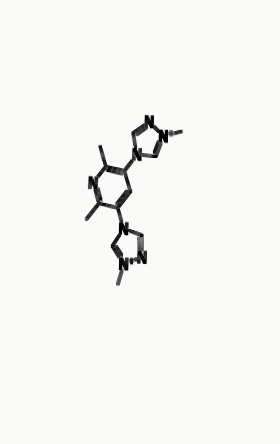 Cc1nc(C)c(-n2cn[n+](C)c2)cc1-n1cn[n+](C)c1